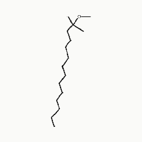 [CH2]C(C)(CCCCCCCCCCCC)OC